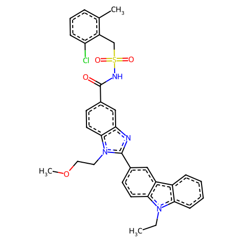 CCn1c2ccccc2c2cc(-c3nc4cc(C(=O)NS(=O)(=O)Cc5c(C)cccc5Cl)ccc4n3CCOC)ccc21